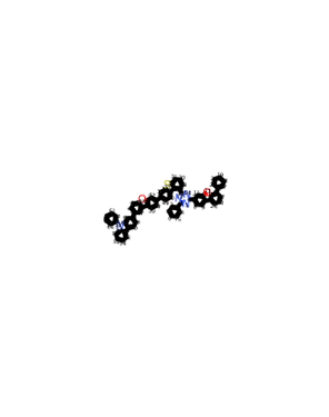 c1ccc(-c2nc(-c3ccc4c(c3)oc3c(-c5ccccc5)cccc34)nc(-c3cccc4sc5cc(-c6ccc7c(c6)oc6ccc(-c8ccc9c%10ccccc%10n(-c%10ccccc%10)c9c8)cc67)ccc5c34)n2)cc1